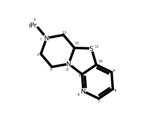 CC(C)N1CCN2c3ncccc3SC2C1